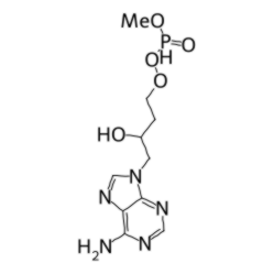 CO[PH](=O)OOCCC(O)Cn1cnc2c(N)ncnc21